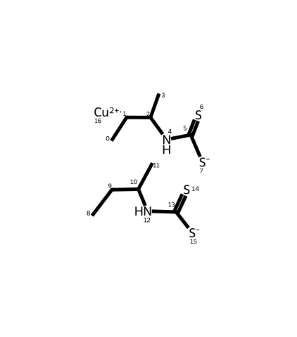 CCC(C)NC(=S)[S-].CCC(C)NC(=S)[S-].[Cu+2]